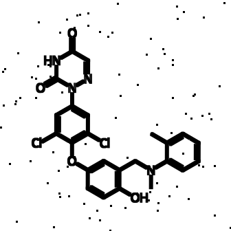 Cc1ccccc1N(C)Cc1cc(Oc2c(Cl)cc(-n3ncc(=O)[nH]c3=O)cc2Cl)ccc1O